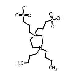 CCCC[N+]1(CCCC)CC[N+](CCCS(=O)(=O)[O-])(CCCS(=O)(=O)[O-])CC1